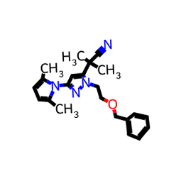 Cc1ccc(C)n1-c1cc(C(C)(C)C#N)n(CCOCc2ccccc2)n1